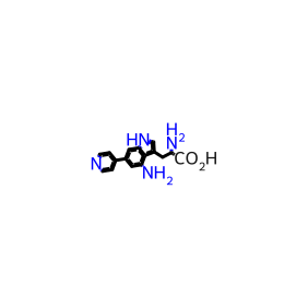 Nc1cc(-c2ccncc2)cc2[nH]cc(CC(N)C(=O)O)c12